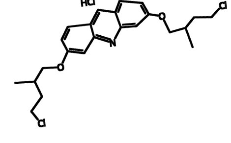 CC(CCCl)COc1ccc2cc3ccc(OCC(C)CCCl)cc3nc2c1.Cl